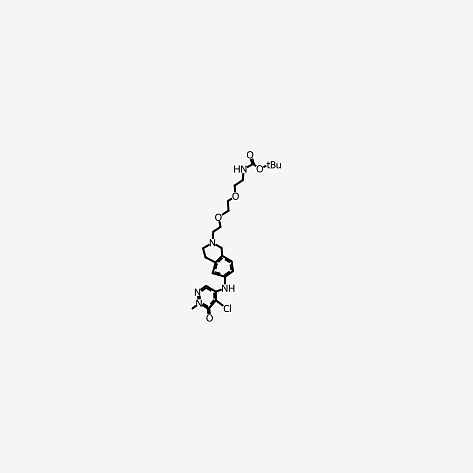 Cn1ncc(Nc2ccc3c(c2)CCN(CCOCCOCCNC(=O)OC(C)(C)C)C3)c(Cl)c1=O